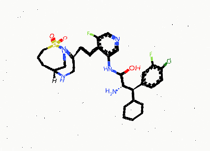 N[C@H](C(O)Nc1cncc(F)c1CC[C@H]1CN[C@@H]2CCCS(=O)(=O)N1C2)[C@@H](c1ccc(Cl)c(F)c1)C1CCCCC1